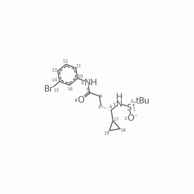 CC(C)(C)[S@+]([O-])N[C@@H](CCC(=O)Nc1cccc(Br)c1)C1CC1